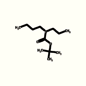 CCCCN(CCC)C(=O)OC(C)(C)C